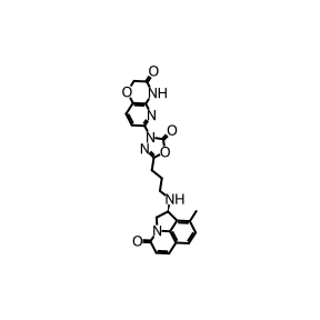 Cc1ccc2ccc(=O)n3c2c1[C@H](NCCCc1nn(-c2ccc4c(n2)NC(=O)CO4)c(=O)o1)C3